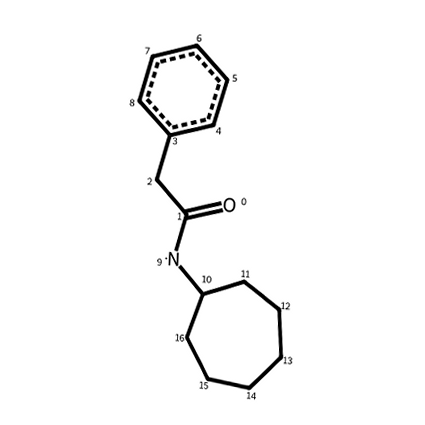 O=C(Cc1ccccc1)[N]C1CCCCCC1